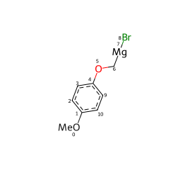 COc1ccc(O[CH2][Mg][Br])cc1